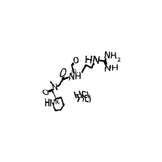 CN(CC(=O)N[C@H](C=O)CCCNC(=N)N)C(=O)[C@H]1CCCCN1.Cl.Cl